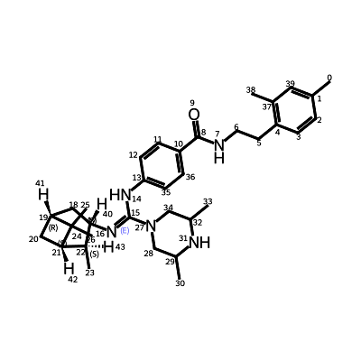 Cc1ccc(CCNC(=O)c2ccc(N/C(=N\[C@H]3C[C@H]4C[C@@H]([C@@H]3C)C4(C)C)N3CC(C)NC(C)C3)cc2)c(C)c1